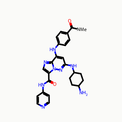 CNC(=O)c1ccc(Nc2cc(NC3CCC(N)CC3)nn3c(C(=O)Nc4ccncc4)cnc23)cc1